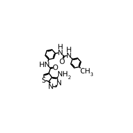 Cc1ccc(NC(=O)Nc2cccc(NC(=O)c3csc4ncnc(N)c34)c2)cc1